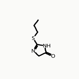 CCCSC1=NCC(=O)N1